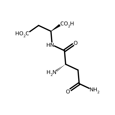 NC(=O)C[C@H](N)C(=O)N[C@@H](CC(=O)O)C(=O)O